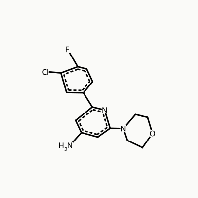 Nc1cc(-c2ccc(F)c(Cl)c2)nc(N2CCOCC2)c1